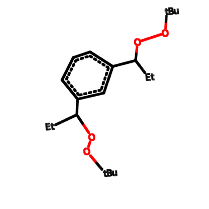 CCC(OOC(C)(C)C)c1cccc(C(CC)OOC(C)(C)C)c1